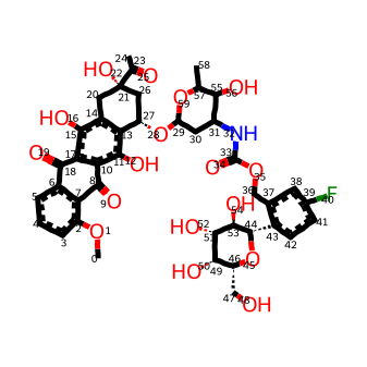 COc1cccc2c1C(=O)c1c(O)c3c(c(O)c1C2=O)C[C@@](O)(C(C)=O)C[C@@H]3OC1CC(NC(=O)OCc2cc(F)ccc2[C@@H]2O[C@H](CO)[C@H](O)[C@H](O)[C@H]2O)C(O)C(C)O1